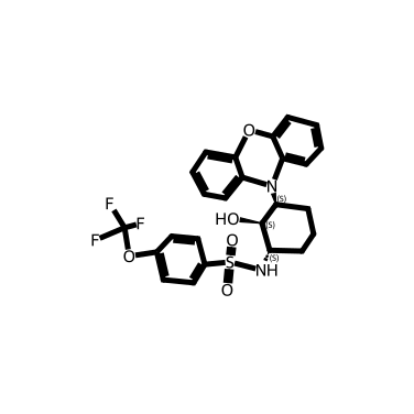 O=S(=O)(N[C@H]1CCC[C@H](N2c3ccccc3Oc3ccccc32)[C@@H]1O)c1ccc(OC(F)(F)F)cc1